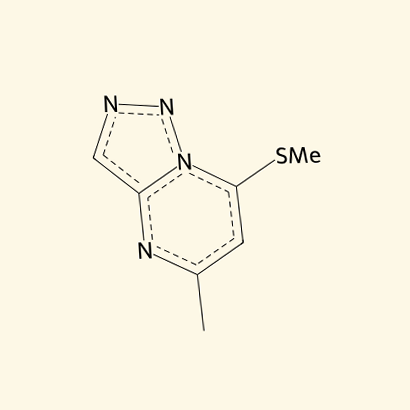 [CH2]Sc1cc(C)nc2cnnn12